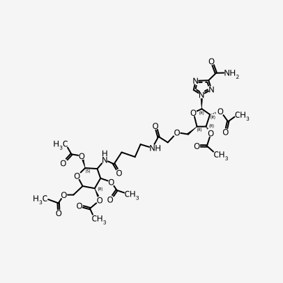 CC(=O)OCC1O[C@@H](OC(C)=O)C(NC(=O)CCCNC(=O)COC[C@H]2O[C@@H](n3cnc(C(N)=O)n3)[C@H](OC(C)=O)[C@@H]2OC(C)=O)C(OC(C)=O)[C@H]1OC(C)=O